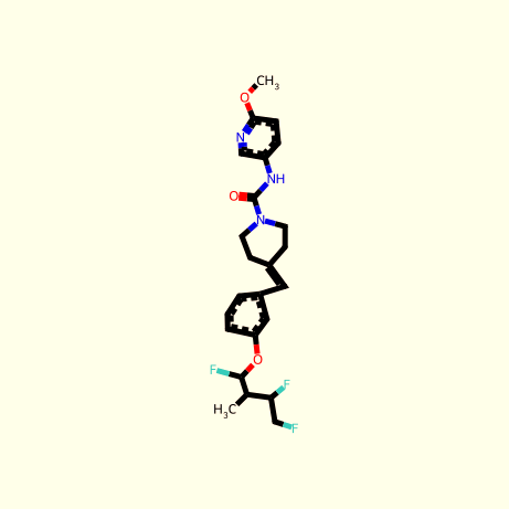 COc1ccc(NC(=O)N2CCC(=Cc3cccc(OC(F)C(C)C(F)CF)c3)CC2)cn1